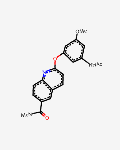 CNC(=O)c1ccc2nc(Oc3cc(NC(C)=O)cc(OC)c3)ccc2c1